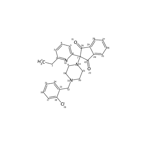 CCc1cccc(C2(N3CCN(Cc4ccccc4Cl)CC3)C(=O)c3ccccc3C2=O)n1